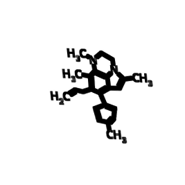 C=CCc1c(C)c2c3c(cc(C)n3CCN2C)c1-c1ccc(C)cc1